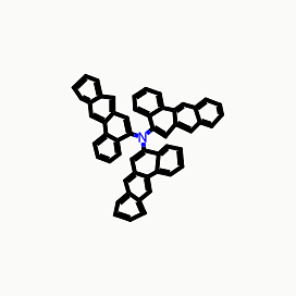 c1ccc2cc3c(cc(N(c4cc5cc6ccccc6cc5c5ccccc45)c4cc5cc6ccccc6cc5c5ccccc45)c4ccccc43)cc2c1